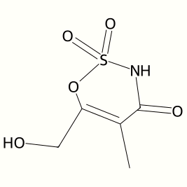 CC1=C(CO)OS(=O)(=O)NC1=O